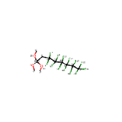 CO[Si](CC(F)(F)C(F)(F)C(F)(F)C(F)(F)C(F)(F)C(F)(F)F)(OC)OC